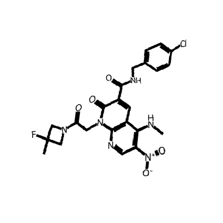 CNc1c([N+](=O)[O-])cnc2c1cc(C(=O)NCc1ccc(Cl)cc1)c(=O)n2CC(=O)N1CC(C)(F)C1